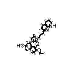 CCOc1cncc(C(CC(=O)O)N2CCN(CCCc3ccc4c(n3)NCCC4)C2=O)c1